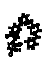 O=C1CCC(N2Cc3cc(-c4cc(CN5CCN(Cc6ccccc6)CC5)ccn4)ccc3C2=O)C(=O)N1